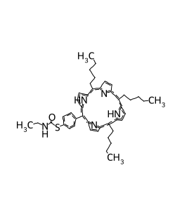 CCCCCc1c2nc(c(CCCCC)c3ccc([nH]3)c(-c3ccc(SC(=O)NCC)cc3)c3nc(c(CCCCC)c4ccc1[nH]4)C=C3)C=C2